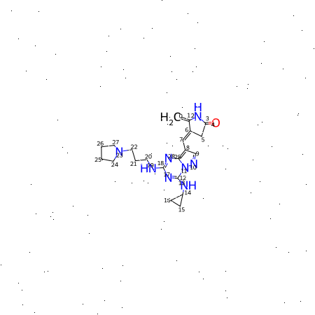 C=C1NC(=O)C/C1=C\c1cnn2c(NC3CC3)nc(NCCCN3CCCC3)nc12